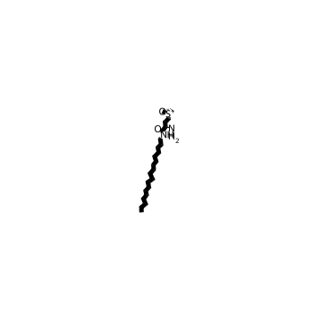 CCCCCCCCCCCCCCCCCCNC(=O)[C@@H](N)CC[S+](C)[O-]